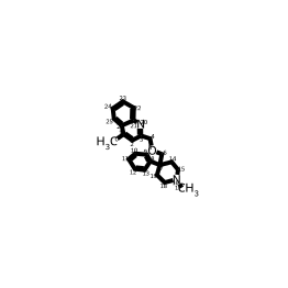 Cc1cc(COCC2(c3ccccc3)CCN(C)CC2)nc2ccccc12